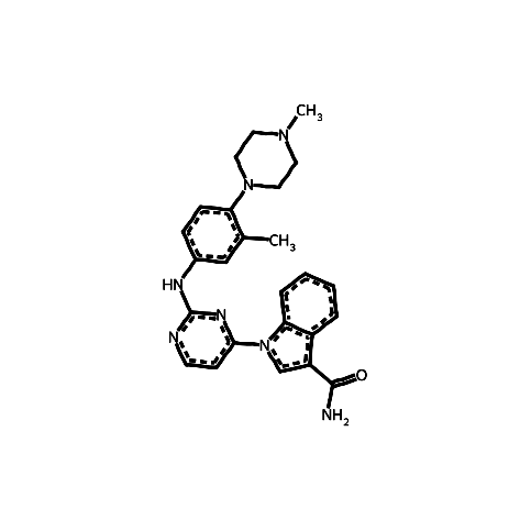 Cc1cc(Nc2nccc(-n3cc(C(N)=O)c4ccccc43)n2)ccc1N1CCN(C)CC1